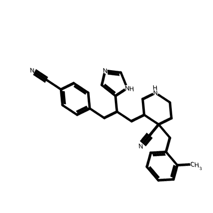 Cc1ccccc1CC1(C#N)CCNCC1CC(Cc1ccc(C#N)cc1)c1cnc[nH]1